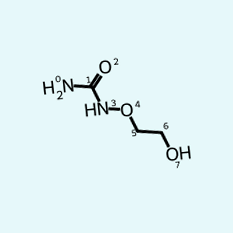 NC(=O)NOCCO